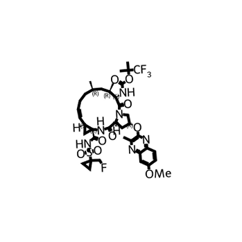 COc1ccc2nc(O[C@@H]3C[C@H]4C(=O)N[C@]5(C(=O)NS(=O)(=O)C6(CF)CC6)C[C@H]5C=CCC[C@@H](C)C[C@@H](C)[C@H](NC(=O)OC(C)(C)C(F)(F)F)C(=O)N4C3)c(C)nc2c1